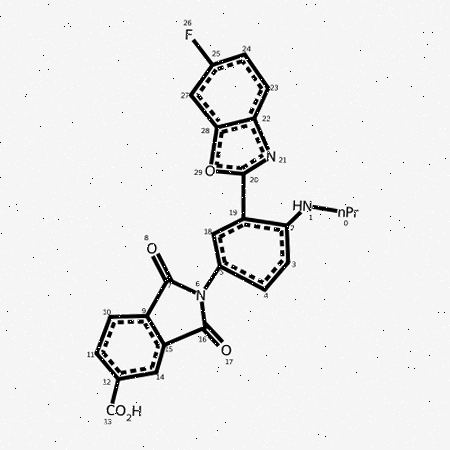 CCCNc1ccc(N2C(=O)c3ccc(C(=O)O)cc3C2=O)cc1-c1nc2ccc(F)cc2o1